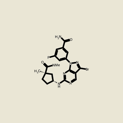 CNC(=O)[C@]1(C)CC[C@@H](Nc2ncc3c(Br)nn(-c4cc(F)cc(C(N)=O)c4)c3n2)C1